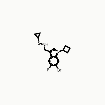 Fc1cc2c(CNSC3CC3)cn(C3CCC3)c2cc1Br